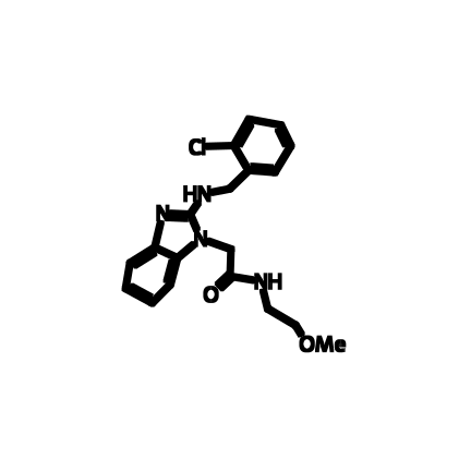 COCCNC(=O)Cn1c(NCc2ccccc2Cl)nc2ccccc21